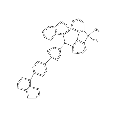 CC1(C)c2ccccc2-c2c(N(c3ccc(-c4ccc(-c5cccc6ccccc56)cc4)cc3)c3cccc4ccccc34)cccc21